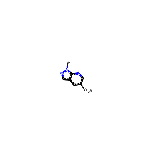 CC(C)n1ncc2cc(C(=O)O)cnc21